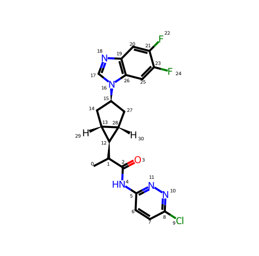 CC(C(=O)Nc1ccc(Cl)nn1)[C@H]1[C@@H]2C[C@@H](n3cnc4cc(F)c(F)cc43)C[C@@H]21